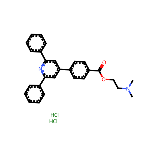 CN(C)CCOC(=O)c1ccc(-c2cc(-c3ccccc3)nc(-c3ccccc3)c2)cc1.Cl.Cl